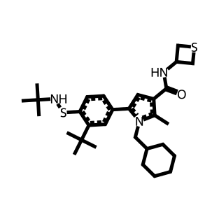 Cc1c(C(=O)NC2CSC2)cc(-c2ccc(SNC(C)(C)C)c(C(C)(C)C)c2)n1CC1CCCCC1